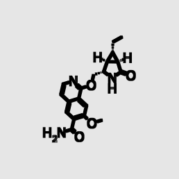 CC[C@@H]1[C@H]2C(=O)N[C@H](COc3nccc4cc(C(N)=O)c(OC)cc34)[C@@H]12